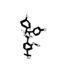 CCOc1cc(C(C)(C)O)ccc1C1=N[C@@](C)(c2ccc(Cl)cc2)[C@@](C)(c2ccc(Cl)cc2)N1